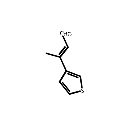 C/C(=C\C=O)c1ccsc1